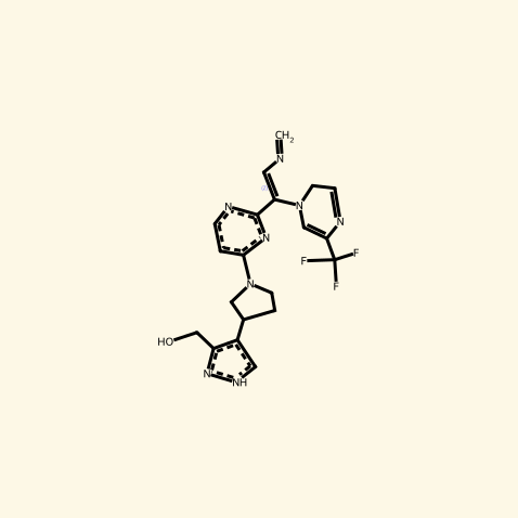 C=N/C=C(/c1nccc(N2CCC(c3c[nH]nc3CO)C2)n1)N1C=C(C(F)(F)F)N=CC1